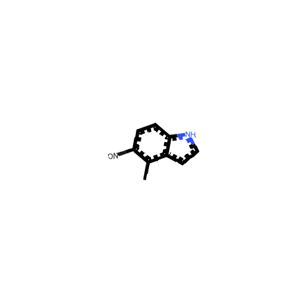 Cc1c(N=O)ccc2[nH]ccc12